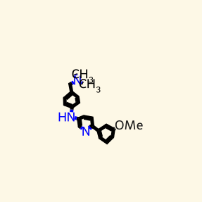 COc1cccc(-c2ccc(Nc3ccc(CN(C)C)cc3)cn2)c1